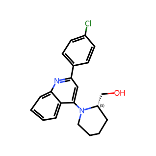 OC[C@@H]1CCCCN1c1cc(-c2ccc(Cl)cc2)nc2ccccc12